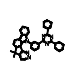 CC1(C)c2ccnnc2-c2c1ccc1c3ccccc3n(-c3cccc(-c4nc(-c5ccccc5)nc(-c5ccccc5)n4)c3)c21